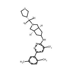 [2H]C([2H])([C@@H]1CCOC1)N1C[C@H]2CC(Nc3nnc(-c4cc(C)ccc4C)cc3C(F)(F)F)C[C@H]2C1